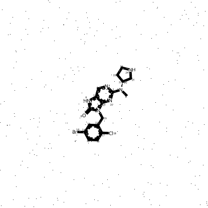 CN(c1ncc2[nH]c(=O)n(Cc3cc(Br)ccc3Cl)c2n1)[C@@H]1CCNC1